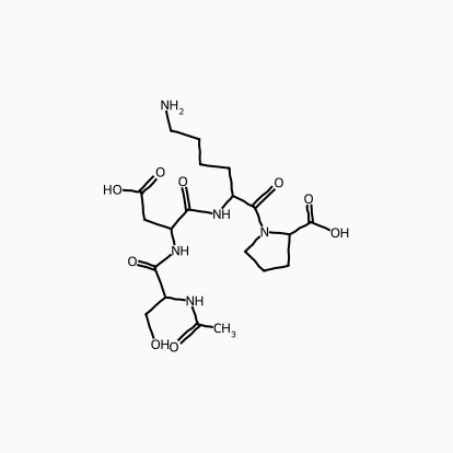 CC(=O)NC(CO)C(=O)NC(CC(=O)O)C(=O)NC(CCCCN)C(=O)N1CCCC1C(=O)O